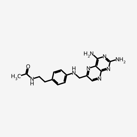 CC(=O)NCCc1ccc(NCc2cnc3nc(N)nc(N)c3n2)cc1